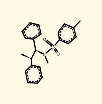 Cc1ccc(S(=O)(=O)N(C)[C@H](c2ccccc2)[C@H](C)c2ccccc2)cc1